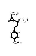 COc1ccc(CCC(C(=O)O)C2CC2C(=O)O)cc1